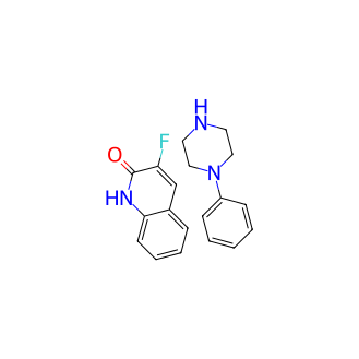 O=c1[nH]c2ccccc2cc1F.c1ccc(N2CCNCC2)cc1